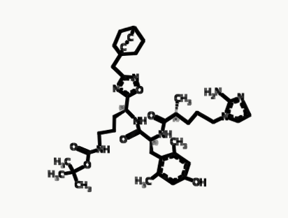 Cc1cc(O)cc(C)c1C[C@H](NC(=O)[C@H](C)CCCn1ccnc1N)C(=O)N[C@@H](CCCNC(=O)OC(C)(C)C)c1nc(CC23CCC(CC2)CC3)no1